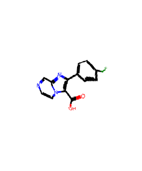 O=C(O)c1c(-c2ccc(F)cc2)nc2cnccn12